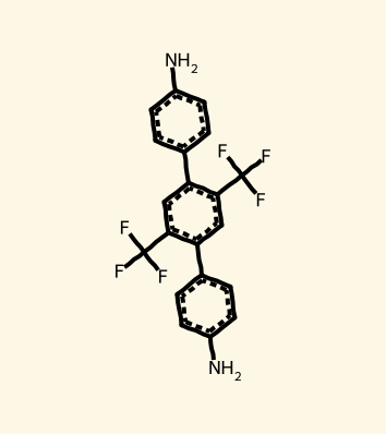 Nc1ccc(-c2cc(C(F)(F)F)c(-c3ccc(N)cc3)cc2C(F)(F)F)cc1